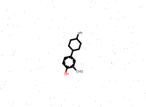 CCCC1CCC(c2ccc(O)c(C=O)c2)CC1